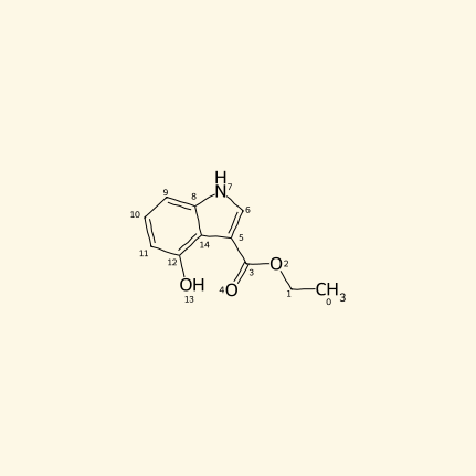 CCOC(=O)c1c[nH]c2cccc(O)c12